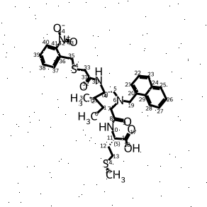 CC[C@H](C)[C@@H](CN(CC(=O)N[C@@H](CCSC)C(=O)O)Cc1cccc2ccccc12)NC(=O)CSCc1ccccc1[N+](=O)[O-]